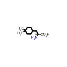 CC1(C)CCC(C[C@H](N)C(=O)O)CC1